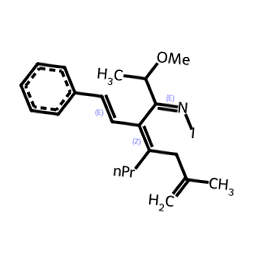 C=C(C)C/C(CCC)=C(/C=C/c1ccccc1)C(=N/I)\C(C)OC